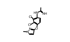 CC(=N)Nc1ccc(Oc2ccn(C)n2)c(Cl)c1Cl